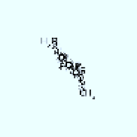 CCCCCOc1ccc(-c2ccc(-c3ccc(CCCCC)cc3)c(F)c2)c(F)c1F